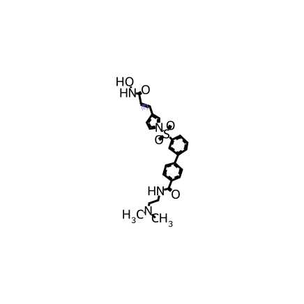 CN(C)CCNC(=O)c1ccc(-c2cccc(S(=O)(=O)n3ccc(/C=C/C(=O)NO)c3)c2)cc1